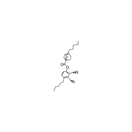 CCCCCc1ccc(OC(=O)C23CCC(CCCCC)(CC2)CC3)c(C#N)c1C#N